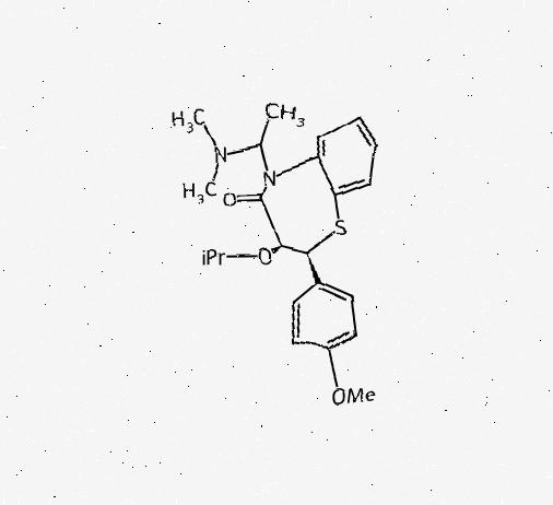 COc1ccc([C@@H]2Sc3ccccc3N(C(C)N(C)C)C(=O)[C@@H]2OC(C)C)cc1